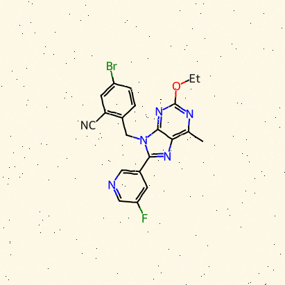 CCOc1nc(C)c2nc(-c3cncc(F)c3)n(Cc3ccc(Br)cc3C#N)c2n1